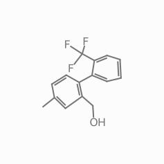 Cc1ccc(-c2ccccc2C(F)(F)F)c(CO)c1